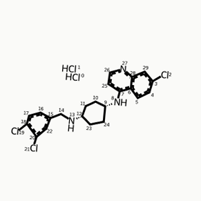 Cl.Cl.Clc1ccc2c(N[C@H]3CC[C@@H](NCc4ccc(Cl)c(Cl)c4)CC3)ccnc2c1